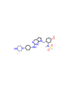 COc1ccc(Cn2ccc3cnc(Nc4ccc(N5CCN[C@@H](C)C5)cc4)nc32)c(N(C)S(C)(=O)=O)c1